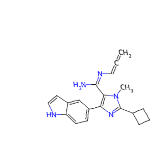 C=C=C/N=C(/N)c1c(-c2ccc3[nH]ccc3c2)nc(C2CCC2)n1C